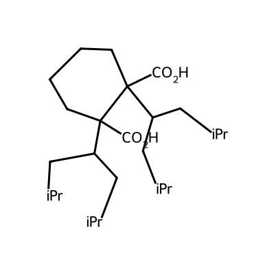 CC(C)CC(CC(C)C)C1(C(=O)O)CCCCC1(C(=O)O)C(CC(C)C)CC(C)C